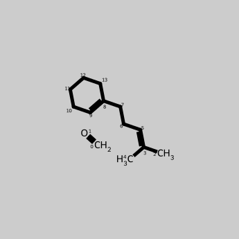 C=O.CC(C)=CCCC1=CCCCC1